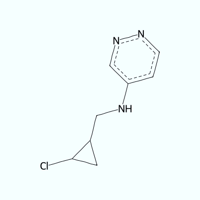 ClC1CC1CNc1ccnnc1